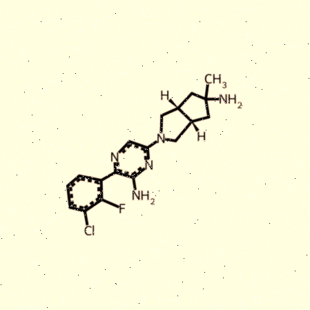 CC1(N)C[C@H]2CN(c3cnc(-c4cccc(Cl)c4F)c(N)n3)C[C@H]2C1